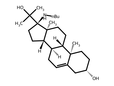 CCCCN[C@]1(C(C)(C)O)CC[C@H]2[C@@H]3CC=C4C[C@@H](O)CC[C@]4(C)[C@H]3CC[C@@]21C